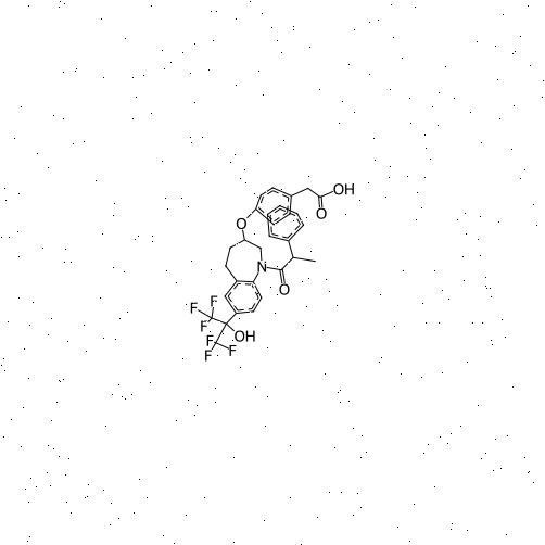 CC(C(=O)N1CC(Oc2ccc(CC(=O)O)cc2)CCc2cc(C(O)(C(F)(F)F)C(F)(F)F)ccc21)c1ccccc1